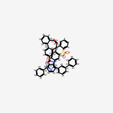 O=S1(=O)c2ccccc2C2(c3ccccc3-c3ccccc3-c3ccc(-c4nc(-c5ccccc5)nc(-c5cccc(-c6ccccc6)c5)n4)cc32)c2cc3oc4ccccc4c3cc21